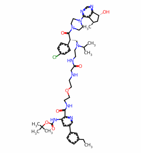 CCc1cccc(-c2cnc(C(=O)NCCOCCNCC(=O)NCCN(C[C@@H](C(=O)N3CCN(c4ncnc5c4[C@H](C)C[C@H]5O)CC3)c3ccc(Cl)cc3)C(C)C)c(NC(=O)OC(C)(C)C)c2)c1